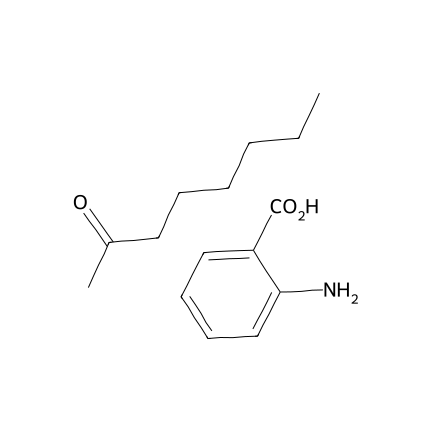 CCCCCCC(C)=O.Nc1ccccc1C(=O)O